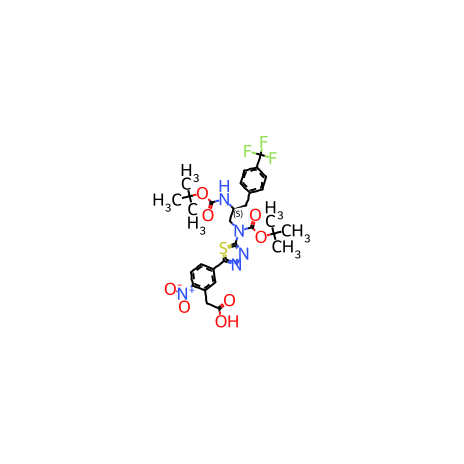 CC(C)(C)OC(=O)N[C@@H](Cc1ccc(C(F)(F)F)cc1)CN(C(=O)OC(C)(C)C)c1nnc(-c2ccc([N+](=O)[O-])c(CC(=O)O)c2)s1